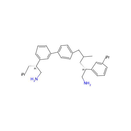 CC(C)C[C@@H](CN)c1cccc(-c2ccc(CC(C)C[C@@H](CN)c3cccc(C(C)C)c3)cc2)c1